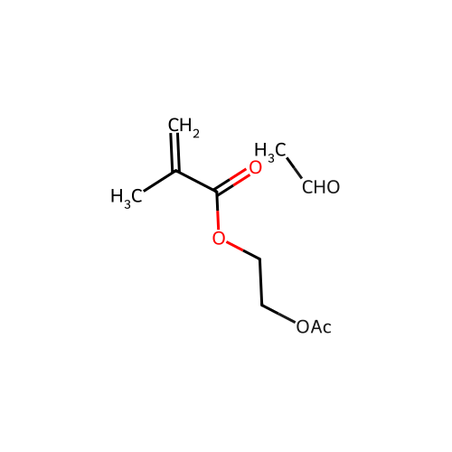 C=C(C)C(=O)OCCOC(C)=O.CC=O